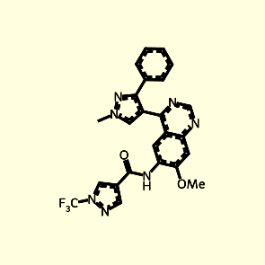 COc1cc2ncnc(-c3cn(C)nc3-c3ccccc3)c2cc1NC(=O)c1cnn(C(F)(F)F)c1